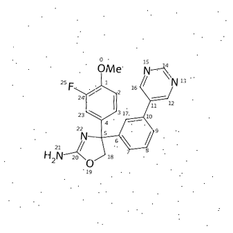 COc1ccc(C2(c3cccc(-c4cncnc4)c3)COC(N)=N2)cc1F